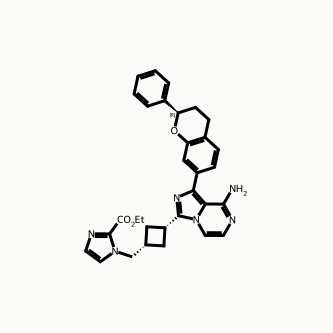 CCOC(=O)c1nccn1C[C@H]1C[C@@H](c2nc(-c3ccc4c(c3)O[C@@H](c3ccccc3)CC4)c3c(N)nccn32)C1